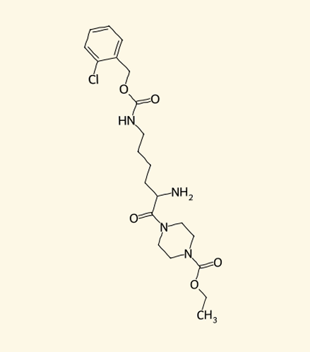 CCOC(=O)N1CCN(C(=O)C(N)CCCCNC(=O)OCc2ccccc2Cl)CC1